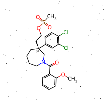 COc1ccccc1C(=O)N1CCCC[C@](CCOS(C)(=O)=O)(c2ccc(Cl)c(Cl)c2)C1